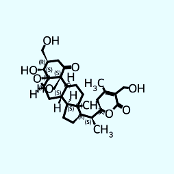 CC1=C(CO)C(=O)O[C@@H]([C@@H](C)[C@H]2CC[C@H]3[C@@H]4C[C@H]5O[C@]56[C@@H](O)[C@@H](CO)CC(=O)[C@]6(CO)[C@H]4CC[C@]23C)C1